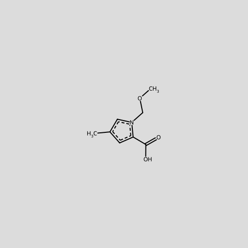 COCn1cc(C)cc1C(=O)O